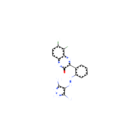 Nc1n[nH]c(N)c1N=Nc1ccccc1-c1nc2c(Cl)c(Cl)ccc2[nH]c1=O